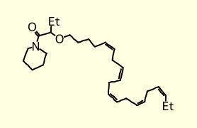 CC/C=C\C/C=C\C/C=C\C/C=C\C/C=C\CCCCOC(CC)C(=O)N1CCCCC1